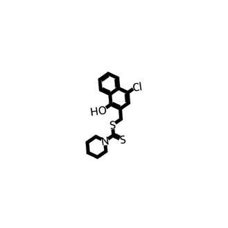 Oc1c(CSC(=S)N2CCCCC2)cc(Cl)c2ccccc12